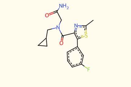 Cc1nc(C(=O)N(CC(N)=O)CC2CC2)c(-c2cccc(F)c2)s1